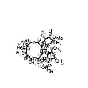 CC[C@H]1OC(=O)[C@H](C)[C@@H](O[C@H]2C[C@@](C)(OC)[C@@H](O)[C@H](C)O2)[C@H](C)[C@@H](O[C@@H]2O[C@H](C)C[C@H](N(C)C)[C@H]2O)[C@](C)(OC)C[C@@H](C)C(=O)[C@H](C)[C@@H](O)[C@]1(C)O.O=S(O)O